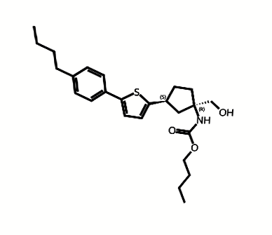 CCCCOC(=O)N[C@]1(CO)CC[C@H](c2ccc(-c3ccc(CCCC)cc3)s2)C1